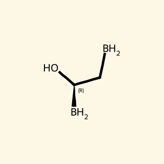 BC[C@@H](B)O